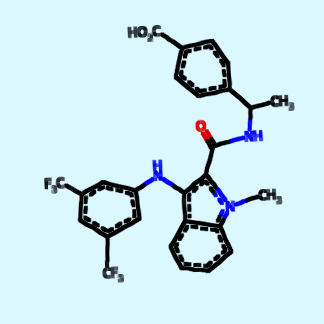 CC(NC(=O)c1c(Nc2cc(C(F)(F)F)cc(C(F)(F)F)c2)c2ccccc2n1C)c1ccc(C(=O)O)cc1